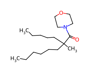 CCCCCCC(C)(CCCCC)C(=O)N1CCOCC1